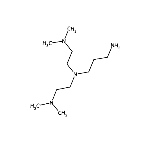 CN(C)CCN(CCCN)CCN(C)C